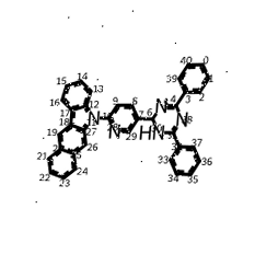 c1ccc(C2=NC(c3ccc(-n4c5ccccc5c5cc6ccccc6cc54)nc3)NC(c3ccccc3)=N2)cc1